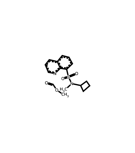 CN(C1CCC1)S(=O)(=O)c1cccc2cccnc12.COC=O